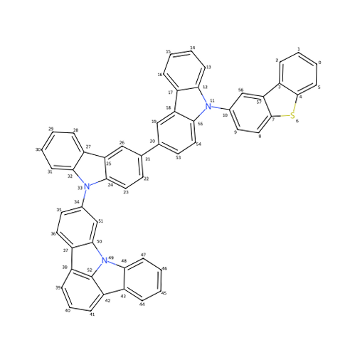 c1ccc2c(c1)sc1ccc(-n3c4ccccc4c4cc(-c5ccc6c(c5)c5ccccc5n6-c5ccc6c7cccc8c9ccccc9n(c6c5)c87)ccc43)cc12